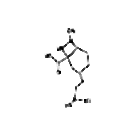 CN1NC2(C(=O)O)CC(CCB(O)O)CCC12